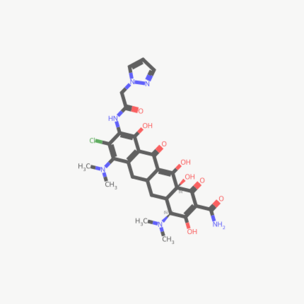 CN(C)c1c(Cl)c(NC(=O)Cn2cccn2)c(O)c2c1CC1CC3[C@H](N(C)C)C(O)=C(C(N)=O)C(=O)[C@@]3(O)C(O)=C1C2=O